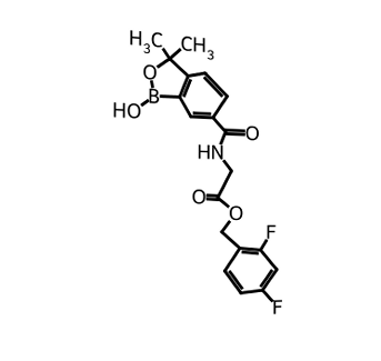 CC1(C)OB(O)c2cc(C(=O)NCC(=O)OCc3ccc(F)cc3F)ccc21